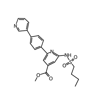 CCCCS(=O)(=O)Nc1cc(C(=O)OC)cc(-c2ccc(-c3cccnc3)cc2)n1